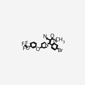 Cn1c(=O)c(C#N)c(N2CCC(Oc3cccc(OC(F)(F)F)c3)CC2)c2ccc(Br)cc21